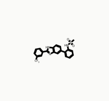 CS(=O)(=O)Nc1ccccc1-c1ccc2[nH]c(-c3cccc(C(F)(F)F)c3)nc2c1